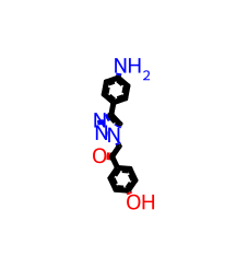 Nc1ccc(-c2cn(CC(=O)c3ccc(O)cc3)nn2)cc1